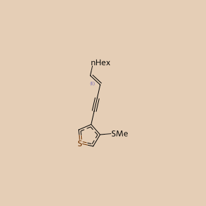 CCCCCC/C=C/C#Cc1cscc1SC